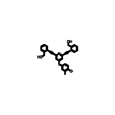 Cc1cc(Sc2cc(C#Cc3ccccc3CO)nc(C#Cc3ccccc3CO)c2)ccc1[O]